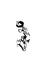 CC(C)N1C(CCNC(=O)Nc2ccncc2)=NNC1OS